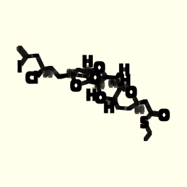 C=C(I)C[C@H](Cl)CC[C@@]12C[C@H]3OC4[C@@H](O[C@H]5CC[C@H](CC(=O)SCC)O[C@@H]5[C@@H]4O1)C3O2